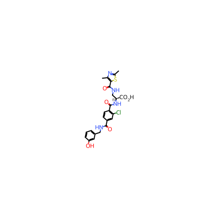 Cc1nc(C)c(C(=O)NC[C@H](NC(=O)c2ccc(C(=O)NCc3cccc(O)c3)cc2Cl)C(=O)O)s1